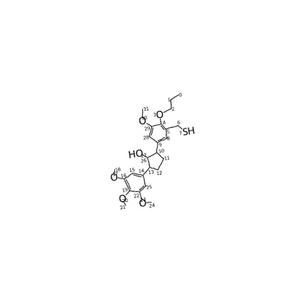 CCCOc1c(CS)cc(C2CCC(c3cc(OC)c(OC)c(OC)c3)C2O)cc1OC